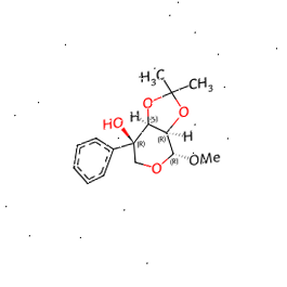 CO[C@@H]1OC[C@](O)(c2ccccc2)[C@H]2OC(C)(C)O[C@@H]12